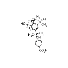 CC(C)(O)c1cc(C(C)(C)O)c(O)c(C(C)(C)O)c1.O=C(O)c1ccccc1